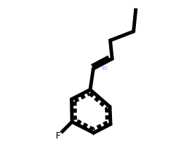 CCC/C=C/c1cc[c]c(F)c1